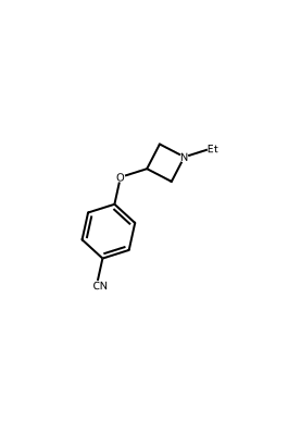 CCN1CC(Oc2ccc(C#N)cc2)C1